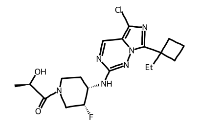 CCC1(c2nc(Cl)c3cnc(N[C@H]4CCN(C(=O)[C@@H](C)O)C[C@H]4F)nn23)CCC1